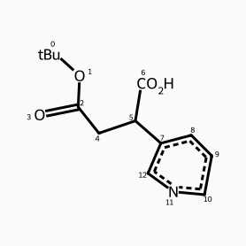 CC(C)(C)OC(=O)CC(C(=O)O)c1cccnc1